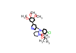 COc1cc(-c2cncc(CN(c3ccc(Cl)cc3)C3CCCCN3C(=O)OC(C)(C)C)c2)cc(OC)c1OC